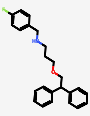 Fc1ccc(CNCCCOCC(c2ccccc2)c2ccccc2)cc1